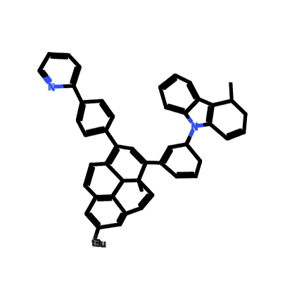 CC1CC=Cc2c1c1ccccc1n2C1C=C(C2=CC(c3ccc(-c4ccccn4)cc3)=C3C=Cc4cc(C(C)(C)C)cc5c4C3C2(C)C=C5)C=CC1